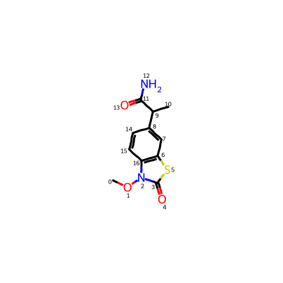 COn1c(=O)sc2cc(C(C)C(N)=O)ccc21